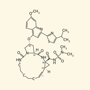 COc1ccc2c(O[C@@H]3C[C@H]4C(=O)N[C@]5(C(=O)NS(=O)(=O)N(C)C)C[C@H]5/C=C\CCCCCNC(=O)N4C3)cc(-c3nc(C(C)C)cs3)nc2c1